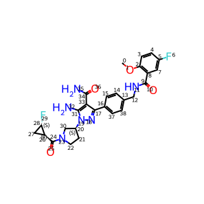 COc1ccc(F)cc1C(=O)NCc1ccc(-c2nn([C@H]3CCN(C(=O)[C@H]4C[C@@H]4F)C3)c(N)c2C(N)=O)cc1